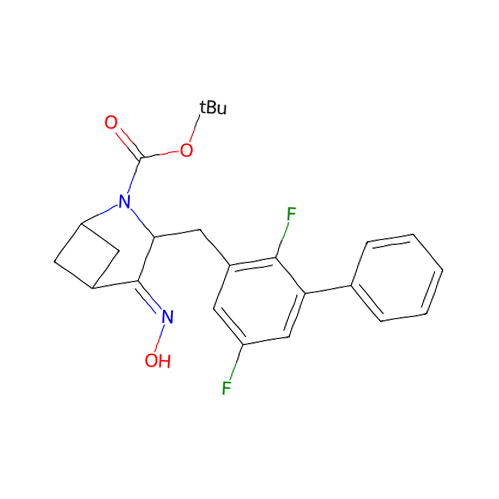 CC(C)(C)OC(=O)N1C2CC(C2)C(=NO)C1Cc1cc(F)cc(-c2ccccc2)c1F